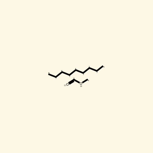 CCCCCCCCC.COC=O